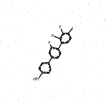 CCCc1ccc(-c2ccc(-c3ccc(I)c(F)c3F)c(F)c2)cc1